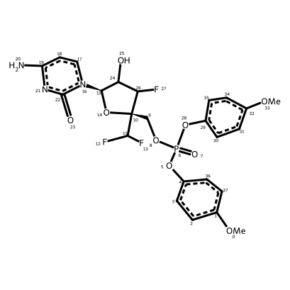 COc1ccc(OP(=O)(OC[C@@]2(C(F)F)O[C@@H](n3ccc(N)nc3=O)C(O)C2F)Oc2ccc(OC)cc2)cc1